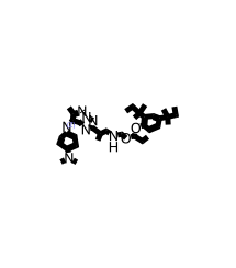 CCC(OCNCC(C)c1nc2n(n1)N=C(C)/C2=N/c1ccc(N(C)C)cc1)Oc1ccc(C(C)(C)CC)cc1C(C)(C)CC